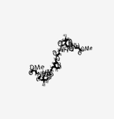 COC(=O)CCNC(=O)[C@@H]1OP(=O)(NCCc2ccnc(COC(=O)CCNC(=O)[C@@H]3CP(=O)(NCCC(=O)OC)OCC3(C)C)c2)OCC1(C)C